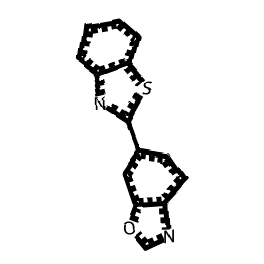 c1ccc2sc(-c3ccc4ncoc4c3)nc2c1